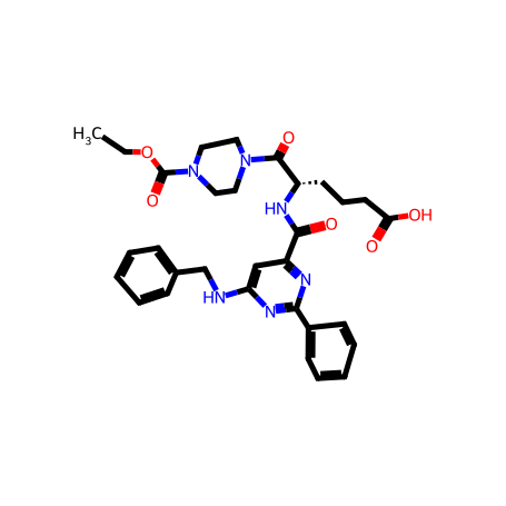 CCOC(=O)N1CCN(C(=O)[C@H](CCCC(=O)O)NC(=O)c2cc(NCc3ccccc3)nc(-c3ccccc3)n2)CC1